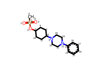 CS(=O)(=O)OC1CCC(N2CCN(c3ccccc3)CC2)CC1